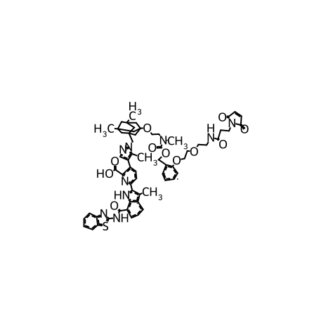 Cc1c(-c2ccc(-c3cnn(CC45CC6(C)CC(C)(C4)CC(OCCN(C)C(=O)OCc4cc[c]cc4OCCOCCNC(=O)CCN4C(=O)C=CC4=O)(C6)C5)c3C)c(C(=O)O)n2)[nH]c2c(C(=O)Nc3nc4ccccc4s3)cccc12